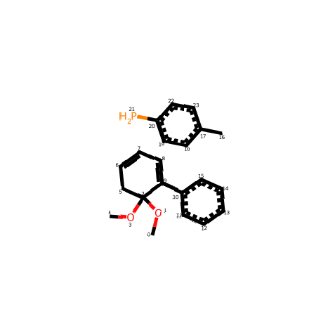 COC1(OC)CC=CC=C1c1ccccc1.Cc1ccc(P)cc1